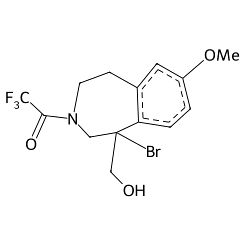 COc1ccc2c(c1)CCN(C(=O)C(F)(F)F)CC2(Br)CO